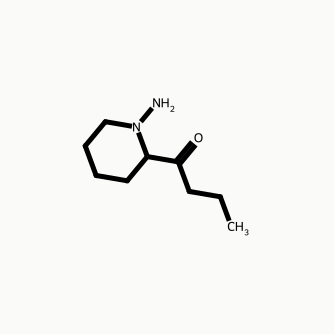 CCCC(=O)C1CCCCN1N